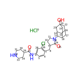 Cl.O=C(Nc1ccc(CC2CCN(C3C4CC5CC3CC(O)(C5)C4)C2=O)c(Cl)c1)C1CCNCC1